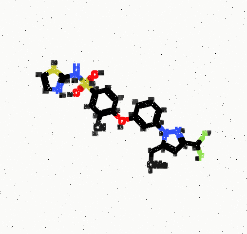 COCc1cc(C(F)F)nn1-c1cccc(Oc2ccc(S(=O)(=O)Nc3nccs3)cc2C#N)c1